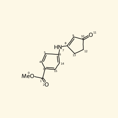 COC(=O)c1ccc(NC2=CC(=O)CC2)cc1